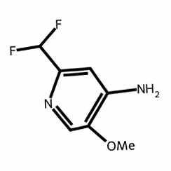 COc1cnc(C(F)F)cc1N